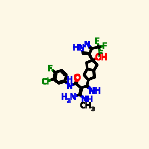 CN/C(N)=C(\C(=N)C1CC2CC(O)(c3c[nH]nc3C(F)(F)F)CC2C1)C(=O)Nc1ccc(F)c(Cl)c1